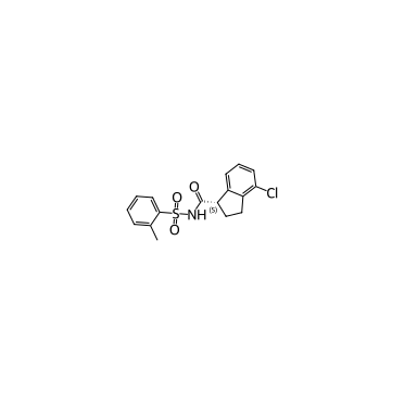 Cc1ccccc1S(=O)(=O)NC(=O)[C@H]1CCc2c(Cl)cccc21